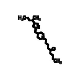 CCCCC(=O)CCCCN1CCC(Cn2cc(C(C)CCC)cn2)CC1